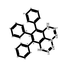 c1ccc(-c2c3c4c(c(-c5ccccc5)c2-c2ccccc2)NN=NN4N=NN3)cc1